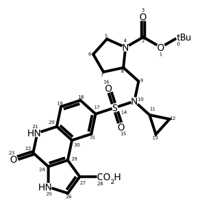 CC(C)(C)OC(=O)N1CCCC1CN(C1CC1)S(=O)(=O)c1ccc2[nH]c(=O)c3[nH]cc(C(=O)O)c3c2c1